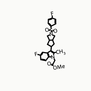 COC(=O)Cn1c(C)c(C2CC3CN(S(=O)(=O)c4ccc(F)cc4)CC3C2)c2cc(F)ccc21